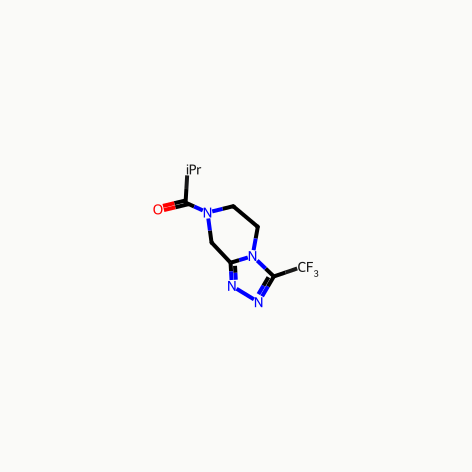 CC(C)C(=O)N1CCn2c(nnc2C(F)(F)F)C1